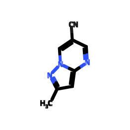 Cc1cc2ncc(C#N)cn2n1